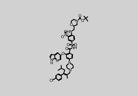 CC(CN1CCN(c2ccc(C(=O)NS(=O)(=O)c3ccc(NCC4CN(C(=O)OC(C)(C)C)CCO4)c([N+](=O)[O-])c3)c(Oc3cnc4[nH]ccc4c3)c2)CC1)=C(CC(C)C)c1ccc(Cl)cc1